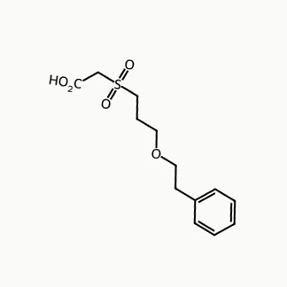 O=C(O)CS(=O)(=O)CCCOCCc1ccccc1